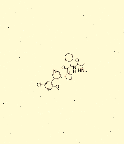 CNC(C)C(=O)NC(C(=O)N1CCCC1c1cncc(-c2cc(Cl)ccc2OC)c1)C1CCCCC1